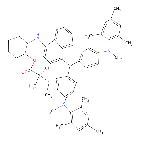 CCC(C)(C)C(=O)OC1CCCCC1Nc1ccc(C(c2ccc(N(C)c3c(C)cc(C)cc3C)cc2)c2ccc(N(C)c3c(C)cc(C)cc3C)cc2)c2ccccc12